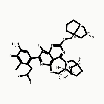 Cc1c(F)c(N)cc(-c2nc3c4c(nc(OC[C@@]56CCCN5C[C@H](F)C6)nc4c2F)N2C[C@H]4CC[C@H](N4)[C@H]2[C@H](C)O3)c1CC(F)F